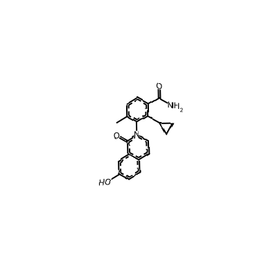 Cc1ccc(C(N)=O)c(C2CC2)c1-n1ccc2ccc(O)cc2c1=O